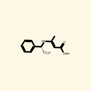 COC(=O)C=C(C)N[C@H](C(=O)O)c1ccccc1